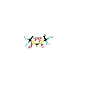 CC(F)(F)S(=O)(=O)CS(=O)(=O)C(C)(F)F